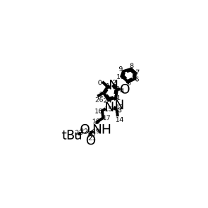 Cc1nc(Oc2ccccc2)c2nc(C)n(CCCNC(=O)OC(C)(C)C)c2c1C